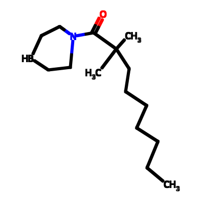 CCCCCCCC(C)(C)C(=O)N1CCBCC1